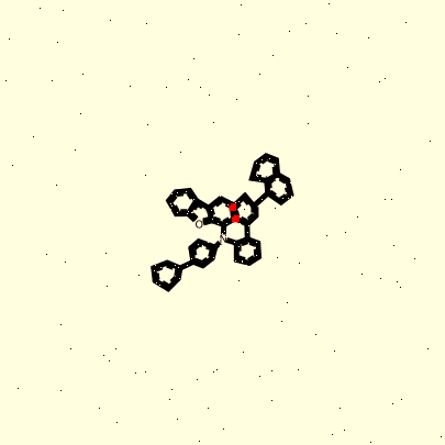 c1ccc(-c2ccc(N(c3ccccc3-c3cccc(-c4cccc5ccccc45)c3)c3cccc4c3oc3ccccc34)cc2)cc1